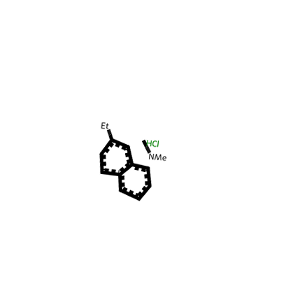 CCc1ccc2ccccc2c1.CNC.Cl